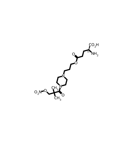 CC(C)(CO[N+](=O)[O-])C(=O)N1CCN(CCCOC(=O)CC[C@H](N)C(=O)O)CC1